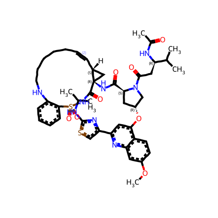 COc1ccc2c(O[C@@H]3C[C@@H](C(=O)N[C@]45C[C@H]4/C=C\CCCCCNc4ccccc4S(=O)(=O)NC5=O)N(C(=O)C[C@@H](NC(C)=O)C(C)C)C3)cc(-c3csc(NC(C)C)n3)nc2c1